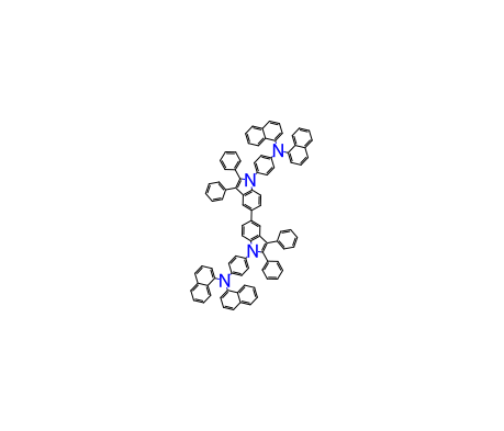 c1ccc(-c2c(-c3ccccc3)n(-c3ccc(N(c4cccc5ccccc45)c4cccc5ccccc45)cc3)c3ccc(-c4ccc5c(c4)c(-c4ccccc4)c(-c4ccccc4)n5-c4ccc(N(c5cccc6ccccc56)c5cccc6ccccc56)cc4)cc23)cc1